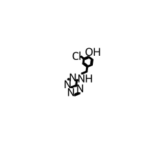 Oc1ccc(CCNc2ncnc3nccnc23)cc1Cl